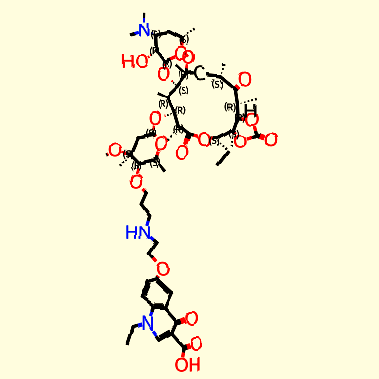 CC[C@@H]1OC(=O)[C@H](C)[C@H](O[C@@H]2C[C@](C)(OC)[C@H](OCCCNCCOc3ccc4c(c3)c(=O)c(C(=O)O)cn4CC)[C@H](C)O2)[C@@H](C)[C@H](O[C@H]2O[C@@H](C)C[C@@H](N(C)C)[C@H]2O)[C@](C)(OC)C[C@H](C)C(=O)[C@H](C)[C@H]2OC(=O)O[C@@]12C